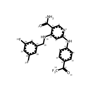 NC(=O)c1cnc(Nc2ccc(C(=O)C(F)(F)F)cc2)cc1NCc1cc(F)cc(F)c1